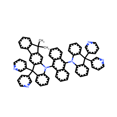 CC1(C)c2ccccc2-c2cc3c(cc21)N(c1c2ccccc2c(N2c4ccccc4C(c4cccnc4)(c4cccnc4)c4ccccc42)c2ccccc12)c1ccccc1C3(c1cccnc1)c1cccnc1